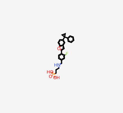 O=P(O)(O)CCCNCc1ccc(-c2cc3cc(C4(c5ccccc5)CC4)ccc3o2)c(F)c1